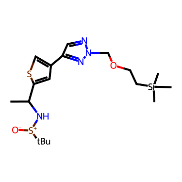 CC(N[S+]([O-])C(C)(C)C)c1cc(-c2cnn(COCC[Si](C)(C)C)n2)cs1